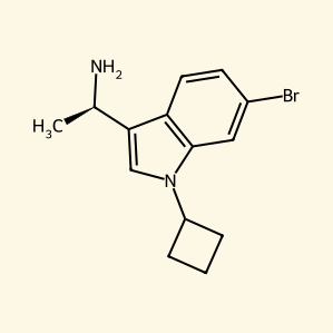 C[C@@H](N)c1cn(C2CCC2)c2cc(Br)ccc12